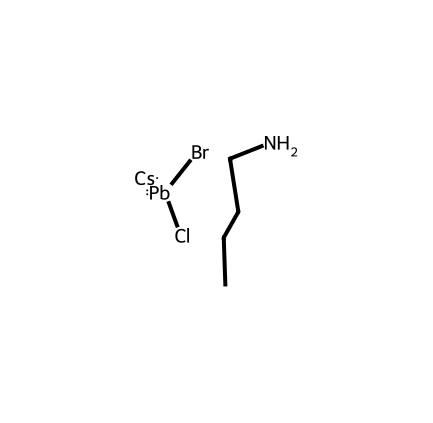 CCCCN.[Cl][Pb][Br].[Cs]